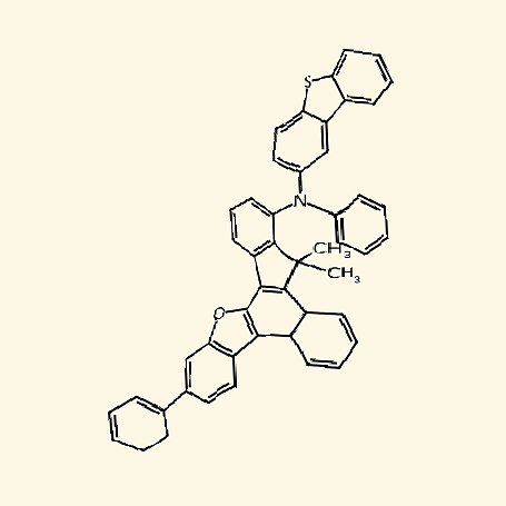 CC1(C)C2=C(c3cccc(N(c4ccccc4)c4ccc5sc6ccccc6c5c4)c31)c1oc3cc(C4=CC=CCC4)ccc3c1C1C=CC=CC21